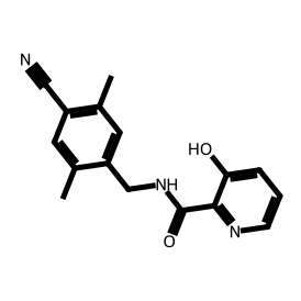 Cc1cc(CNC(=O)c2ncccc2O)c(C)cc1C#N